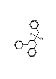 CC(C)C(Cc1cccnc1)([C](CCc1ccccc1)Cc1ccccc1)C(C)C